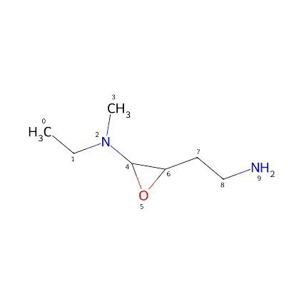 CCN(C)C1OC1CCN